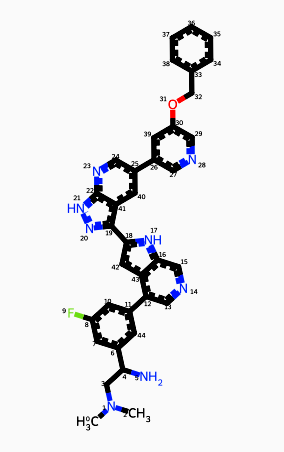 CN(C)CC(N)c1cc(F)cc(-c2cncc3[nH]c(-c4n[nH]c5ncc(-c6cncc(OCc7ccccc7)c6)cc45)cc23)c1